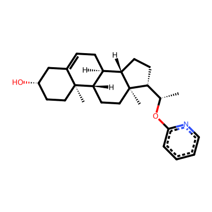 C[C@H](Oc1ccccn1)[C@H]1CC[C@H]2[C@@H]3CC=C4C[C@@H](O)CC[C@]4(C)[C@H]3CC[C@]12C